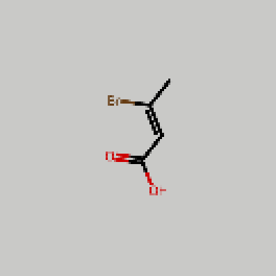 C/C(Br)=C/C(=O)O